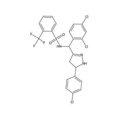 O=S(=O)(NC(C1=NNC(c2ccc(Cl)cc2)C1)c1ccc(Cl)cc1Cl)c1ccccc1C(F)(F)F